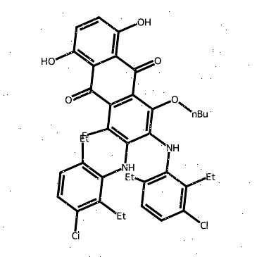 CCCCOc1c(Nc2c(CC)ccc(Cl)c2CC)c(Nc2c(CC)ccc(Cl)c2CC)c(F)c2c1C(=O)c1c(O)ccc(O)c1C2=O